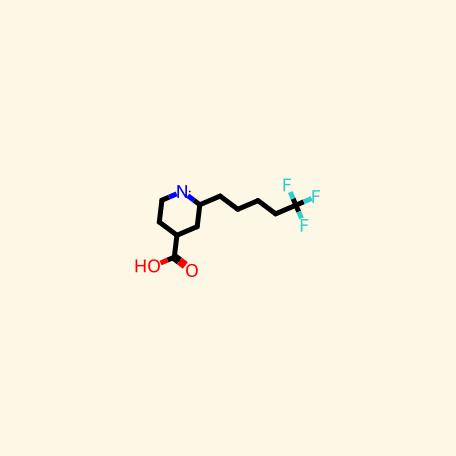 O=C(O)C1CC[N]C(CCCCC(F)(F)F)C1